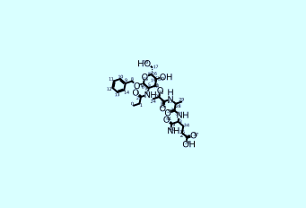 CCC(=O)N[C@H]1[C@@H](OCc2ccccc2)O[C@H](CO)[C@@H](O)[C@@H]1OC(C)C(=O)NC(C)C(=O)NC(CCC(=O)O)C(N)=O